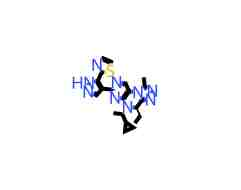 CC[C@@H]1c2nnc(C)n2-c2cnc(-c3cn[nH]c3-c3nccs3)nc2N1C(C)C1CC1